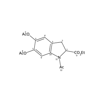 CCOC(=O)C1Cc2cc(OC(C)=O)c(OC(C)=O)cc2N1C(C)=O